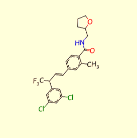 Cc1cc(/C=C/C(c2cc(Cl)cc(Cl)c2)C(F)(F)F)ccc1C(=O)NCC1CCCO1